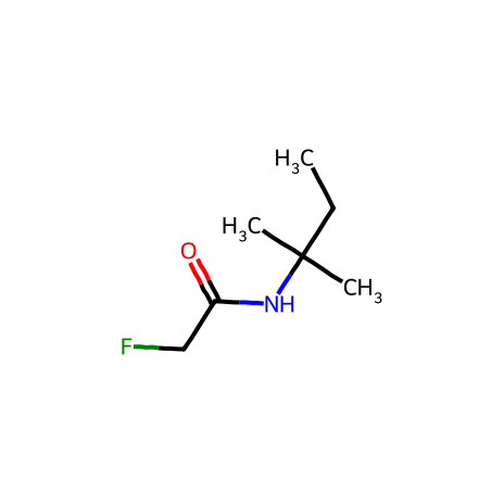 CCC(C)(C)NC(=O)CF